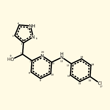 OC(c1cc[nH]n1)c1cccc(Nc2ccc(Cl)cc2)n1